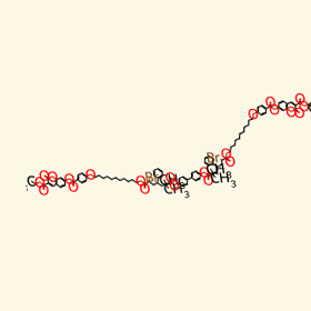 CCOC(=O)c1cc2ccc(OC(=O)c3ccc(OCCCCCCCCCCCOC(=O)C(Br)CC(CC(C)(C)C(=O)Oc4ccc(-c5ccc(OC(=O)C(C)(C)CC(CC(Br)C(=O)OCCCCCCCCCCCOc6ccc(C(=O)Oc7ccc8cc(C(=O)OCC)c(=O)oc8c7)cc6)c6ccccc6)cc5)cc4)c4ccccc4)cc3)cc2oc1=O